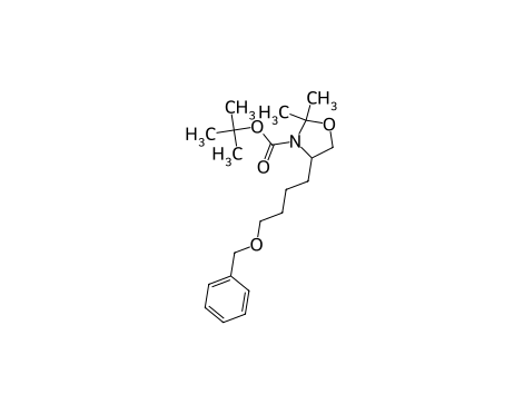 CC(C)(C)OC(=O)N1C(CCCCOCc2ccccc2)COC1(C)C